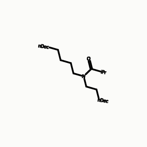 CCCCCCCCCCCCCCN(CCCCCCCCCCCC)C(=O)C(C)C